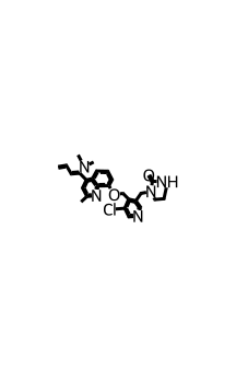 C=C/C=C(/c1cc(C)nc2c(OCc3c(Cl)cncc3CN3CCCNC3=O)cccc12)N(C)C